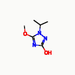 COc1nc(O)nn1C(C)C